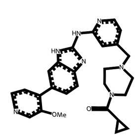 COc1cnccc1-c1ccc2nc(Nc3cc(CN4CCN(C(=O)C5CC5)CC4)ccn3)[nH]c2c1